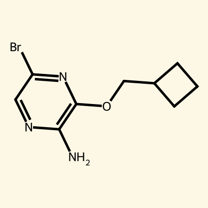 Nc1ncc(Br)nc1OCC1CCC1